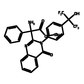 CC(C)(C)OC(=O)C(N)(c1ccccc1)c1nc2ccccc2c(=O)n1-c1ccc(C(O)(C(F)(F)F)C(F)(F)F)cc1